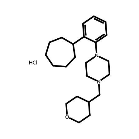 Cl.c1ccc(N2CCN(CC3CCOCC3)CC2)c(C2CCCCCC2)c1